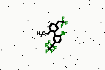 CCc1[c]cc(CC(F)(F)F)cc1-c1cc(C(F)(F)C(F)(F)F)ccc1Br